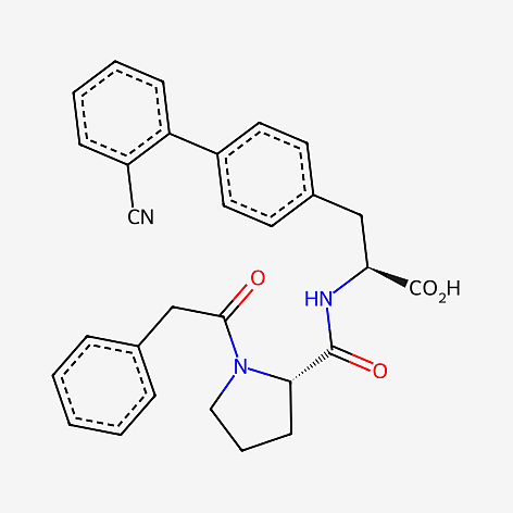 N#Cc1ccccc1-c1ccc(C[C@H](NC(=O)[C@@H]2CCCN2C(=O)Cc2ccccc2)C(=O)O)cc1